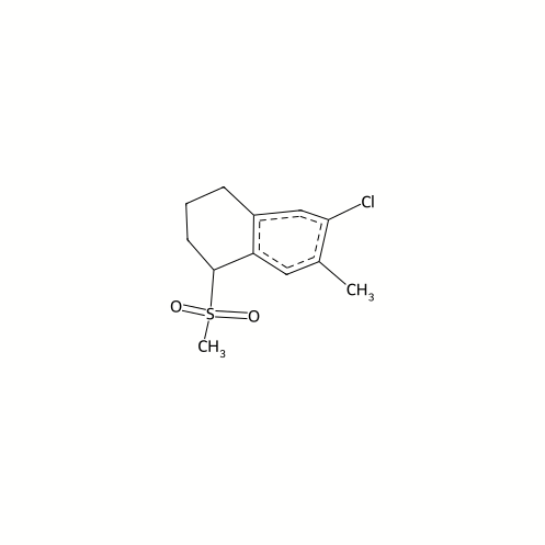 Cc1cc2c(cc1Cl)CCCC2S(C)(=O)=O